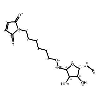 O=C1C=CC(=O)N1CCCCCCONC1O[C@H](CF)C(O)C1O